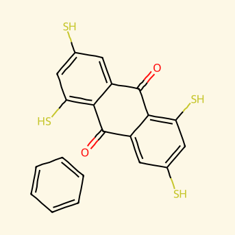 O=C1c2cc(S)cc(S)c2C(=O)c2cc(S)cc(S)c21.c1ccccc1